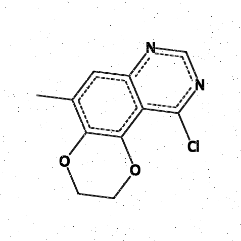 Cc1cc2ncnc(Cl)c2c2c1OCCO2